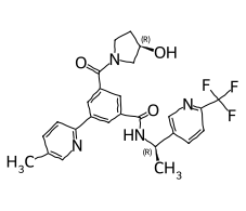 Cc1ccc(-c2cc(C(=O)N[C@H](C)c3ccc(C(F)(F)F)nc3)cc(C(=O)N3CC[C@@H](O)C3)c2)nc1